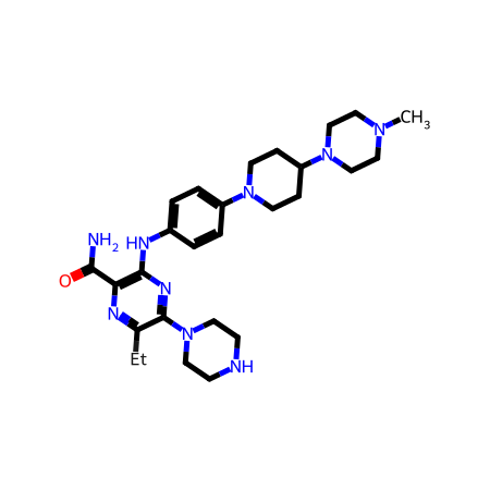 CCc1nc(C(N)=O)c(Nc2ccc(N3CCC(N4CCN(C)CC4)CC3)cc2)nc1N1CCNCC1